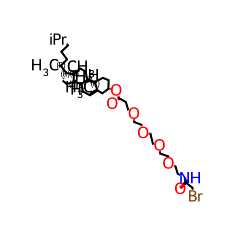 CC(C)CCC[C@@H](C)[C@H]1CC[C@H]2[C@@H]3CC=C4CC(OC(=O)CCOCCOCCOCCOCCNC(=O)CBr)CC[C@]4(C)[C@H]3CC[C@]12C